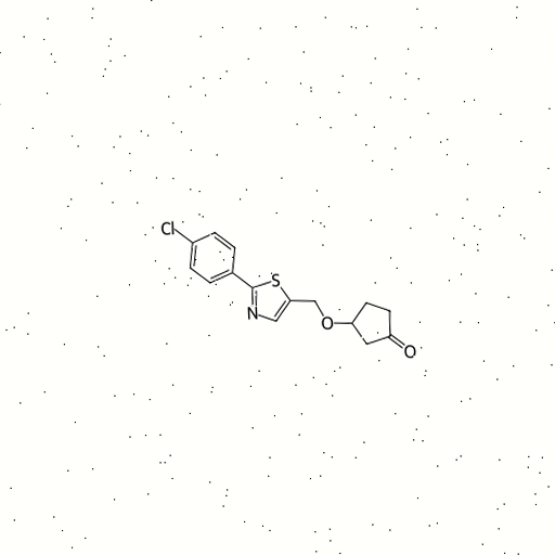 O=C1CCC(OCc2cnc(-c3ccc(Cl)cc3)s2)C1